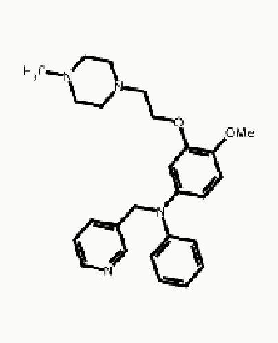 COc1ccc(N(Cc2cccnc2)c2ccccc2)cc1OCCN1CCN(C)CC1